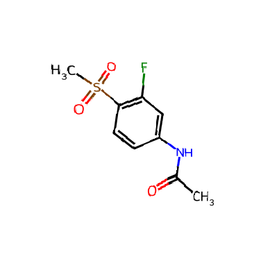 CC(=O)Nc1ccc(S(C)(=O)=O)c(F)c1